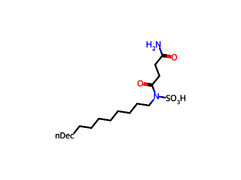 CCCCCCCCCCCCCCCCCCN(C(=O)CCC(N)=O)S(=O)(=O)O